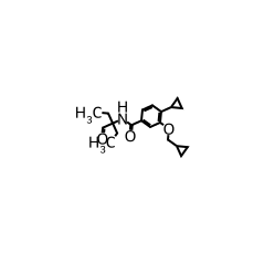 CCC(C=O)(CC)NC(=O)c1ccc(C2CC2)c(OCC2CC2)c1